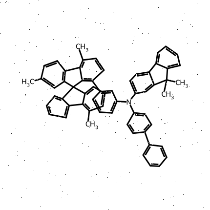 Cc1ccc2c(c1)C1(c3ccccc3-c3c(C)cccc31)c1c(-c3cccc(N(c4ccc(-c5ccccc5)cc4)c4ccc5c(c4)C(C)(C)c4ccccc4-5)c3)ccc(C)c1-2